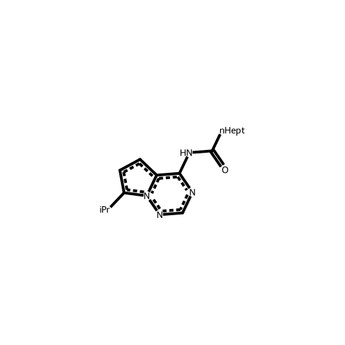 CCCCCCCC(=O)Nc1ncnn2c(C(C)C)ccc12